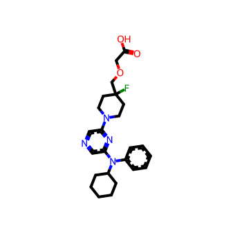 O=C(O)COCC1(F)CCN(c2cncc(N(c3ccccc3)C3CCCCC3)n2)CC1